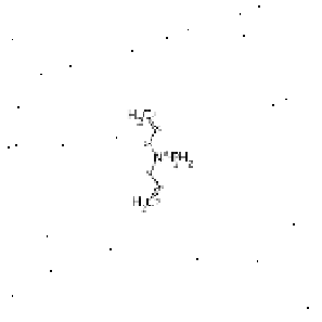 C=CCN(P)CC=C